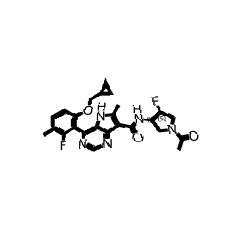 CC(=O)N1C[C@H](F)[C@H](NC(=O)c2c(C)[nH]c3c(-c4c(OCC5CC5)ccc(C)c4F)ncnc23)C1